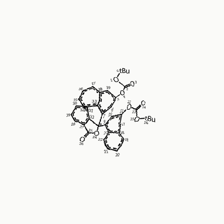 CC(C)(C)OC(=O)Oc1cc(C2(c3cc(OC(=O)OC(C)(C)C)cc4ccccc34)OC(=O)c3ccccc32)c2ccccc2c1